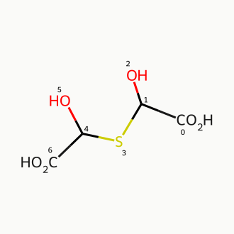 O=C(O)C(O)SC(O)C(=O)O